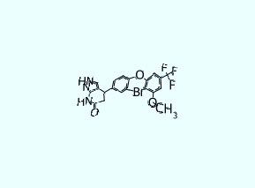 COc1cc(Oc2ccc(C3CC(=O)Nc4n[nH]cc43)cc2Br)cc(C(F)(F)F)c1